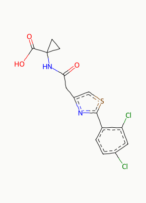 O=C(Cc1csc(-c2ccc(Cl)cc2Cl)n1)NC1(C(=O)O)CC1